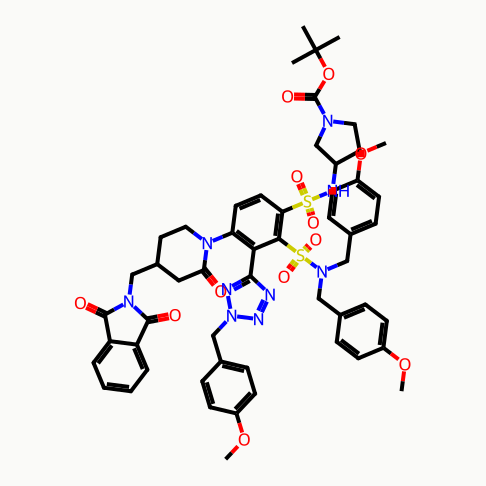 COc1ccc(CN(Cc2ccc(OC)cc2)S(=O)(=O)c2c(S(=O)(=O)NC3CCN(C(=O)OC(C)(C)C)C3)ccc(N3CCC(CN4C(=O)c5ccccc5C4=O)CC3=O)c2-c2nnn(Cc3ccc(OC)cc3)n2)cc1